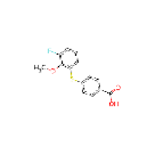 COc1c(F)cccc1Sc1ccc(C(=O)O)cc1